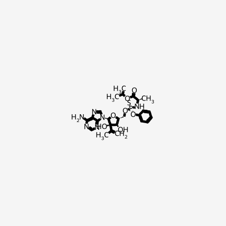 C=C(C)[C@@]1(O)[C@H](O)[C@@H](COP(=S)(N[C@@H](C)C(=O)OC(C)C)Oc2ccccc2)O[C@H]1n1cnc2c(N)ncnc21